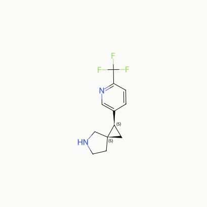 FC(F)(F)c1ccc([C@H]2C[C@]23CCNC3)cn1